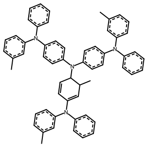 Cc1cccc(N(C2=CC(C)C(N(c3ccc(N(c4ccccc4)c4cccc(C)c4)cc3)c3ccc(N(c4ccccc4)c4cccc(C)c4)cc3)C=C2)c2ccccc2)c1